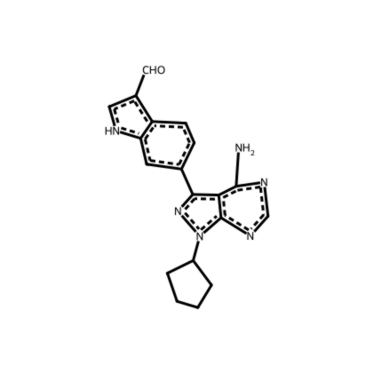 Nc1ncnc2c1c(-c1ccc3c(C=O)c[nH]c3c1)nn2C1CCCC1